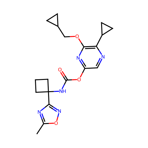 Cc1nc(C2(NC(=O)Oc3cnc(C4CC4)c(OCC4CC4)n3)CCC2)no1